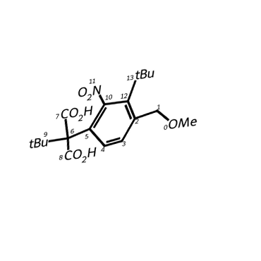 COCc1ccc(C(C(=O)O)(C(=O)O)C(C)(C)C)c([N+](=O)[O-])c1C(C)(C)C